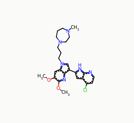 COc1cc2c(nc1OC)c(-c1cc3c(Cl)ccnc3[nH]1)cn2CCCN1CCCN(C)CC1